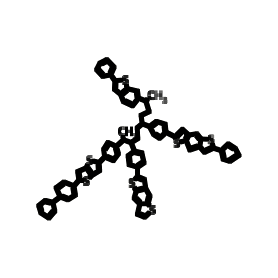 CC(CCC(CCC(c1ccc(-c2cc3cc4sccc4cc3s2)cc1)C(C)c1ccc(-c2cc3sc(-c4ccc(-c5ccccc5)cc4)cc3s2)cc1)c1ccc(-c2cc3cc4sc(-c5ccccc5)cc4cc3s2)cc1)c1ccc2cc(-c3ccccc3)sc2c1